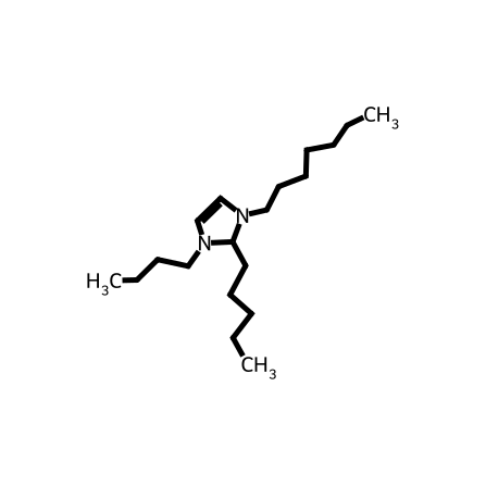 CCCCCCCN1C=CN(CCCC)C1CCCCC